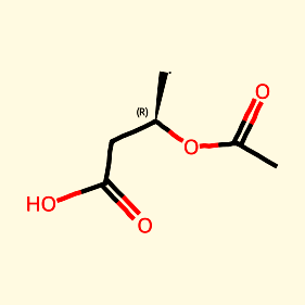 [CH2][C@H](CC(=O)O)OC(C)=O